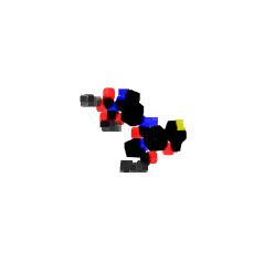 COC(=O)[C@H]1CCCN1c1cc2c(cc1C(=O)Nc1ccc3c(N(C(=O)OC(C)(C)C)C(=O)OC(C)(C)C)nccc3c1)-c1cscc1CO2